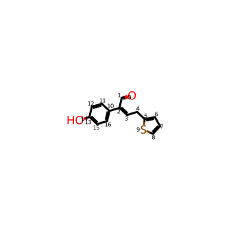 O=CC(=CCc1cccs1)c1ccc(O)cc1